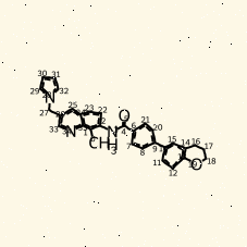 Cc1c(NC(=O)c2ccc(-c3ccc4c(c3)CCCO4)cc2)ccc2cc(Cn3cccc3)cnc12